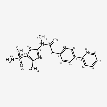 Cc1nc(N(C)C(=O)Cc2ccc(-c3ccccn3)cc2)sc1S(=N)(N)=O